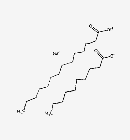 CCCCCCCCCC(=O)[O-].CCCCCCCCCCCCCC(=O)O.[Na+]